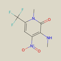 CNc1c([N+](=O)[O-])cc(C(F)(F)F)n(C)c1=O